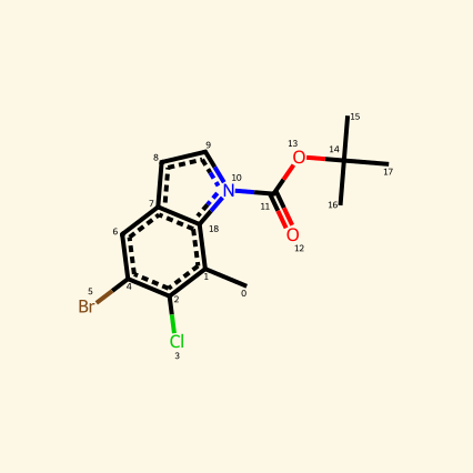 Cc1c(Cl)c(Br)cc2ccn(C(=O)OC(C)(C)C)c12